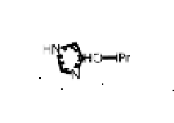 CC(C)O.c1c[nH]cn1